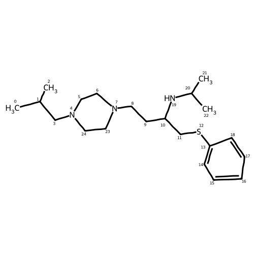 CC(C)CN1CCN(CCC(CSc2ccccc2)NC(C)C)CC1